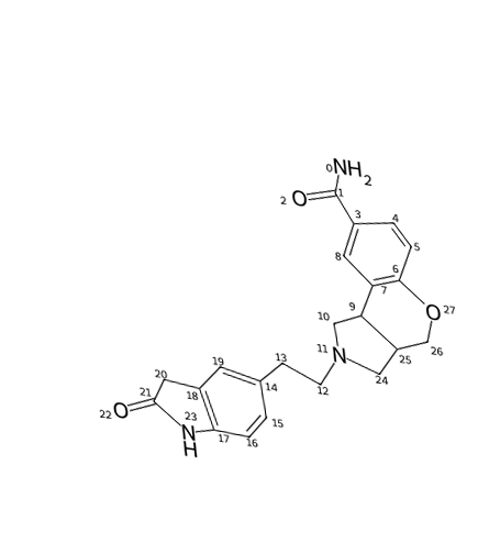 NC(=O)c1ccc2c(c1)C1CN(CCc3ccc4c(c3)CC(=O)N4)CC1CO2